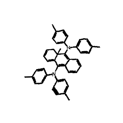 Cc1c#cc(N(C2=c3ccccc3=C(N(c3ccc(C)cc3)c3ccc(C)cc3)C3(C)CC=CC=C23)c2ccc(C)cc2)cc1